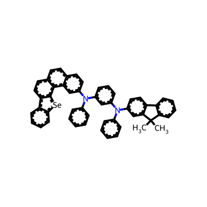 CC1(C)c2ccccc2-c2ccc(N(c3ccccc3)c3cccc(N(c4ccccc4)c4ccc5ccc6ccc7c8ccccc8[se]c7c6c5c4)c3)cc21